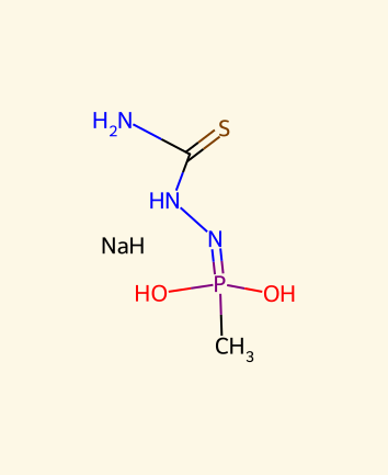 CP(O)(O)=NNC(N)=S.[NaH]